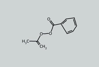 C=C(C)OOC(=O)c1ccccc1